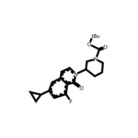 CC(C)(C)OC(=O)N1CCCC(n2ccc3cc(C4CC4)cc(F)c3c2=O)C1